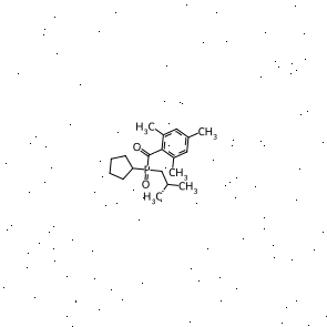 Cc1cc(C)c(C(=O)P(=O)(CC(C)C)C2CCCC2)c(C)c1